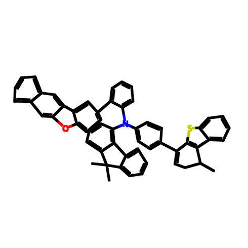 CC1CC=C(c2ccc(N(c3ccccc3-c3ccc4oc5cc6ccccc6cc5c4c3)c3cccc4c3-c3ccccc3C4(C)C)cc2)c2sc3ccccc3c21